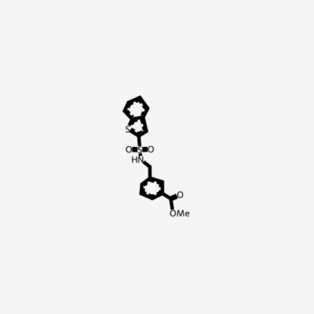 COC(=O)c1cccc(CNS(=O)(=O)c2cc3ccccc3s2)c1